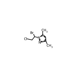 Cc1cc(C)n(C(Br)CCl)n1